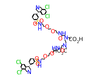 CN1Cc2c(Cl)cc(Cl)cc2[C@H](c2cccc(S(=O)(=O)NCCOCCOCCNC(=O)CN(CCN(CC(=O)O)CC(=O)NCCOCCOCCNS(=O)(=O)c3cccc([C@@H]4CN(C)Cc5c(Cl)cc(Cl)cc54)c3)CC(=O)O)c2)C1